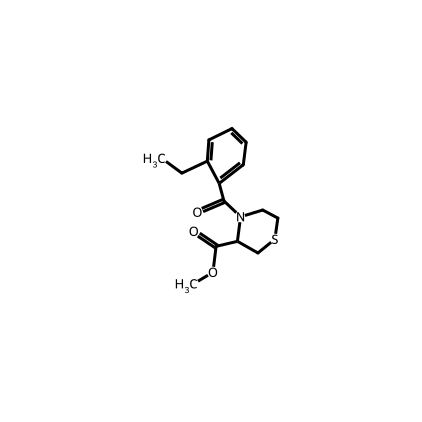 CCc1ccccc1C(=O)N1CCSCC1C(=O)OC